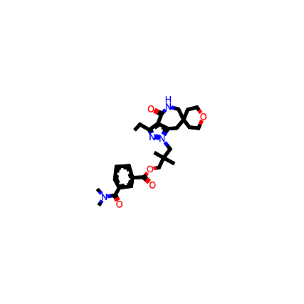 CCc1nn(CC(C)(C)COC(=O)c2cccc(C(=O)N(C)C)c2)c2c1C(=O)NCC1(CCOCC1)C2